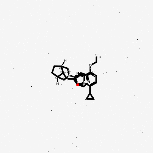 FC(F)(F)COc1ccc(C2CC2)n2nc(N[C@@H]3[C@@H]4CC[C@H]3CN(c3ccnc(Cl)c3)C4)nc12